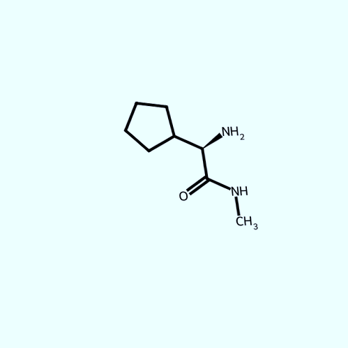 CNC(=O)[C@H](N)C1CCCC1